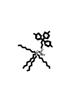 CCCCCCCCP(CCCCCCCC)(CCCCCCCC)(CCCCCCCC)OB(O)OCCCC(c1ccc(C)cc1)(c1ccc(C)cc1)c1ccc(C)cc1